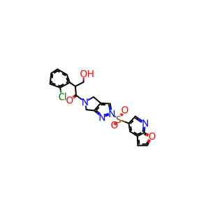 O=C(C(CO)c1ccccc1Cl)N1Cc2cn(S(=O)(=O)c3cnc4occc4c3)nc2C1